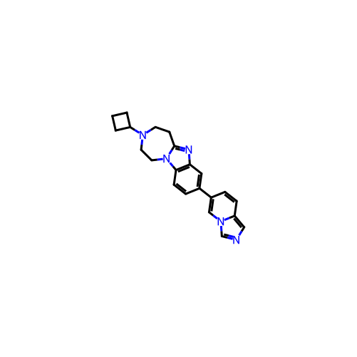 c1cc2c(cc1-c1ccc3cncn3c1)nc1n2CCN(C2CCC2)CC1